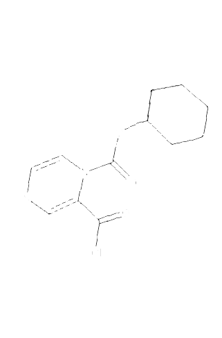 O=C(O)C1=CSC=CN1C(=O)OC1CCCCC1